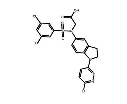 O=C(O)CN(c1ccc2c(c1)CCN2c1ccc(Cl)nn1)S(=O)(=O)c1cc(Cl)cc(Cl)c1